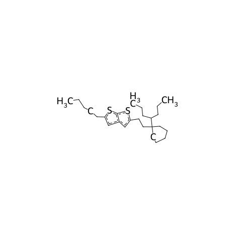 CCCCCc1cc2cc(CCC3(C(CCC)CCC)CCCCC3)sc2s1